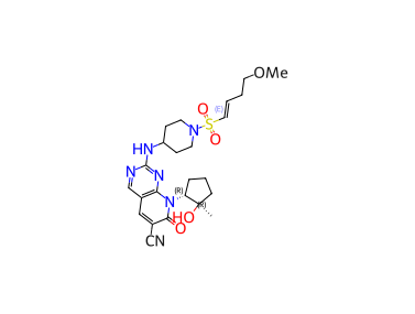 COCC/C=C/S(=O)(=O)N1CCC(Nc2ncc3cc(C#N)c(=O)n([C@@H]4CCC[C@@]4(C)O)c3n2)CC1